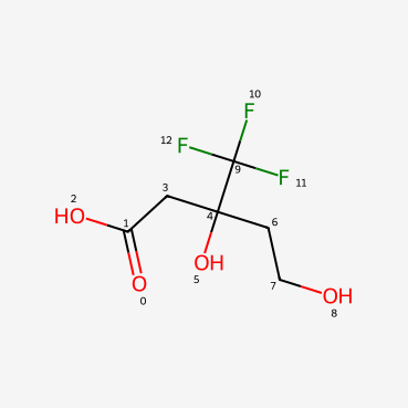 O=C(O)CC(O)(CCO)C(F)(F)F